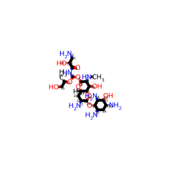 CNC1C(OC(NC(=O)[C@@H](O)CN)OC(C)CO)O[C@H]2CC(N)[C@@H](O[C@@H]3C(N)C[C@@H](N)C(O)C3N)OC2C1O